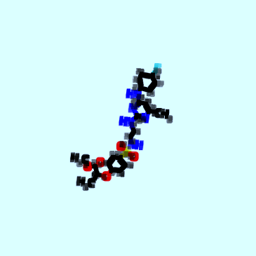 COC(=O)[C@H](C)Oc1ccc(S(=O)(=O)NCCNc2nc(C)cc(Nc3ccc(F)cc3)n2)cc1